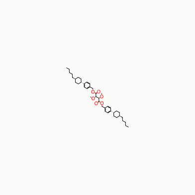 CCCCC[C@H]1CC[C@H](c2ccc(COC(=O)[C@H](OC)[C@@H](OC)C(=O)OCc3ccc([C@H]4CC[C@H](CCCCC)CC4)cc3)cc2)CC1